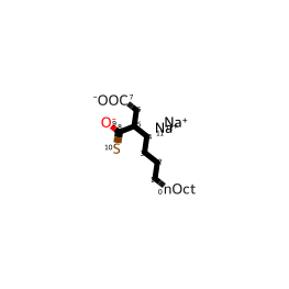 CCCCCCCCCCCCC(CC(=O)[O-])C([O-])=S.[Na+].[Na+]